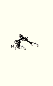 CCCCCCCCC(=O)OCC(COC=O)OC(=O)CCC(CCC=O)SC(=O)CCCN(C)C